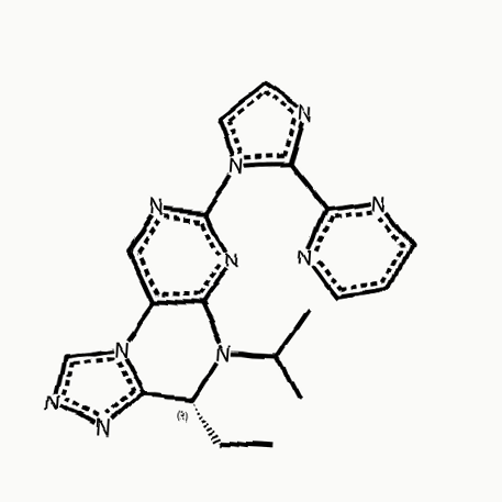 CC[C@@H]1c2nncn2-c2cnc(-n3ccnc3-c3ncccn3)nc2N1C(C)C